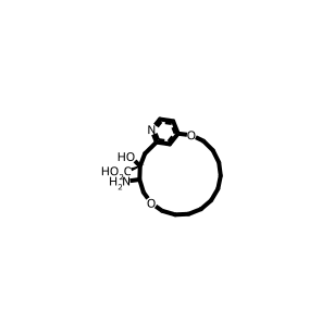 NC1COCCCCCCCCCCOc2ccnc(c2)C[C@]1(O)C(=O)O